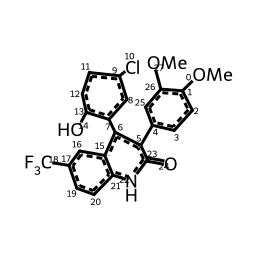 COc1ccc(-c2c(-c3cc(Cl)ccc3O)c3cc(C(F)(F)F)ccc3[nH]c2=O)cc1OC